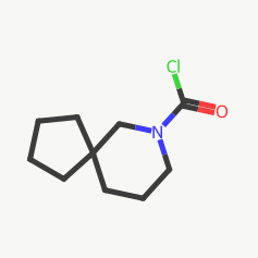 O=C(Cl)N1CCCC2(CCCC2)C1